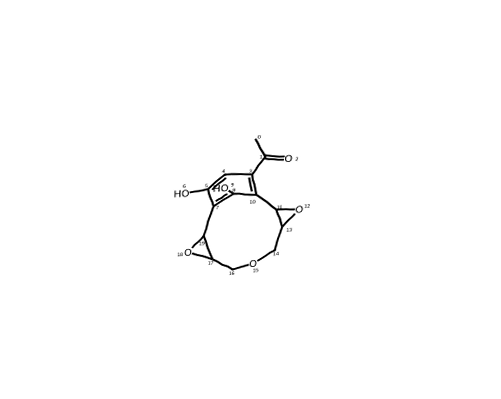 CC(=O)c1cc(O)c2c(O)c1C1OC1COCC1OC21